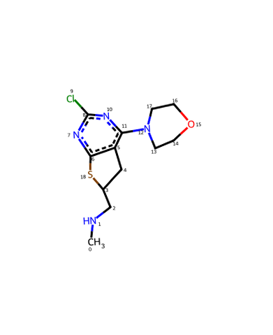 CNCC1Cc2c(nc(Cl)nc2N2CCOCC2)S1